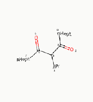 CCCCCCCC(=O)C(CCC)C(=O)CCCCCCC